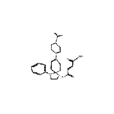 CC(C)[C@H]1CC[C@@H](N2CCC3(CC2)SCCN3c2ccccc2)CC1.O=C(O)/C=C/C(=O)O